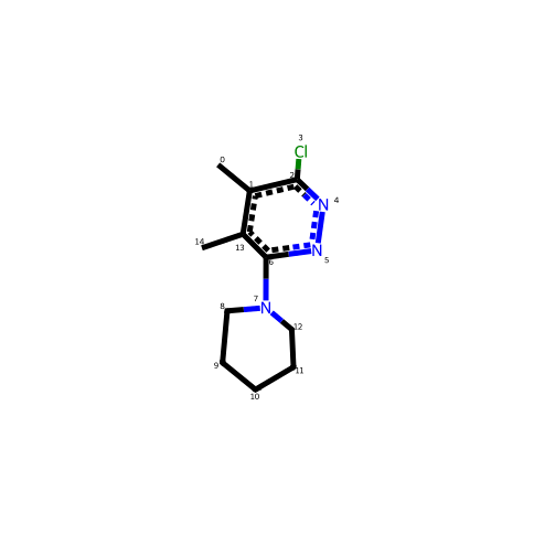 Cc1c(Cl)nnc(N2CC[CH]CC2)c1C